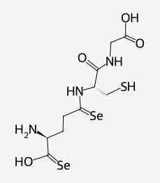 N[C@@H](CCC(=[Se])N[C@@H](CS)C(=O)NCC(=O)O)C(O)=[Se]